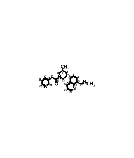 C/N=C/c1ccc([C@H]2C[C@@H](C)CN(C(=O)Cc3cccnc3)C2)c2cccnc12